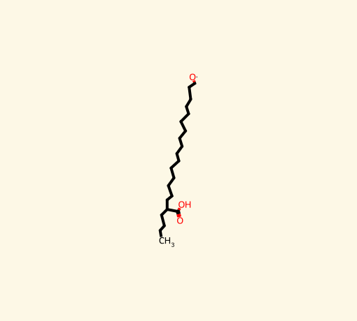 CCCCC(CCCCCCCCCCCCCCCC[O])C(=O)O